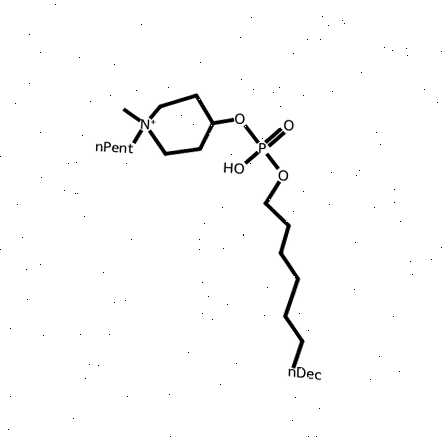 CCCCCCCCCCCCCCCCOP(=O)(O)OC1CC[N+](C)(CCCCC)CC1